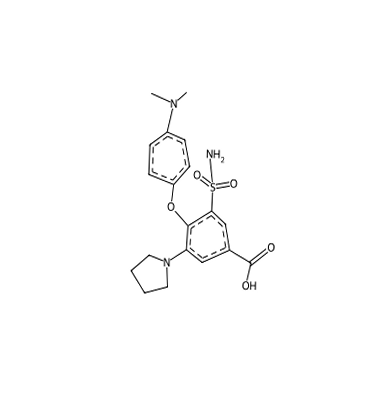 CN(C)c1ccc(Oc2c(N3CCCC3)cc(C(=O)O)cc2S(N)(=O)=O)cc1